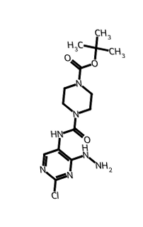 CC(C)(C)OC(=O)N1CCN(C(=O)Nc2cnc(Cl)nc2NN)CC1